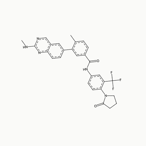 CNc1ncc2cc(-c3cc(C(=O)Nc4ccc(N5CCCC5=O)c(C(F)(F)F)c4)ccc3C)ccc2n1